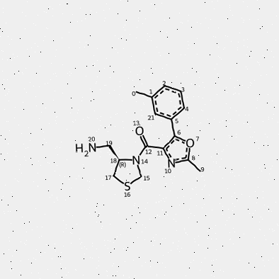 Cc1cccc(-c2oc(C)nc2C(=O)N2CSC[C@H]2CN)c1